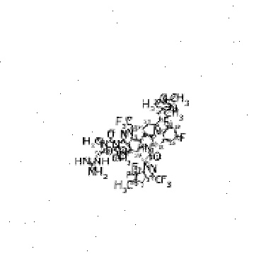 C[C@@H]1Cc2c(C(F)(F)F)nn(CC(=O)N[C@@H](Cc3cc(F)cc(F)c3)c3nc(CCC(C)(C)S(C)(=O)=O)ccc3-c3ccc(Cl)c4c(N(C(=O)N(C)CCNC(=N)N)S(C)(=O)=O)nn(CC(F)(F)F)c34)c2C1(F)F